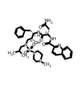 CC(C)CN(C[C@@H](O)[C@H](Cc1ccccc1)NC(=O)[C@H](CC(N)=O)NC(=O)c1ccc2ccccc2n1)S(=O)(=O)N1CCN(C)CC1